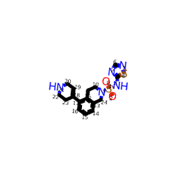 O=S(=O)(Nc1ncns1)N1CCc2c(cccc2C2=CCNCC2)C1